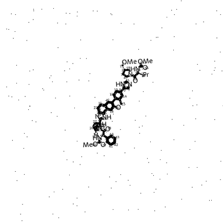 COC[C@H]1C[C@@H](c2ncc(-c3ccc4c(c3)COc3cc5c(ccc6nc([C@@H]7C8C9[C@H]8[C@@H]9N7C(=O)[C@H](NC(=O)OC)c7ccccc7)[nH]c65)cc3-4)[nH]2)N(C(=O)[C@@H](NC(=O)OC)C(C)C)C1